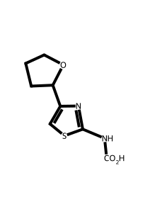 O=C(O)Nc1nc(C2CCCO2)cs1